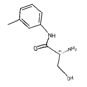 Cc1cccc(NC(=O)[C@H](N)CO)c1